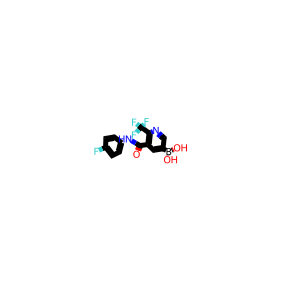 O=C(Nc1ccc(F)cc1)c1cc(B(O)O)cnc1C(F)(F)F